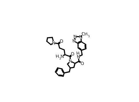 Cn1nnc2cc(CNC(=O)C3CC(Cc4ccccc4)CN3C(=O)C(N)CCC(=O)N3CCCC3)ccc21